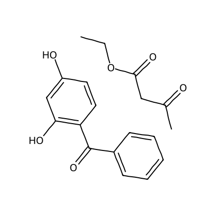 CCOC(=O)CC(C)=O.O=C(c1ccccc1)c1ccc(O)cc1O